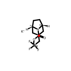 CC(C)(C)OC(=O)N1[C@@H]2CC[C@H]1CN(C[B-](F)(F)F)C2.[K+]